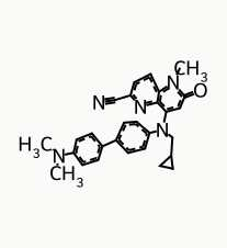 CN(C)c1ccc(-c2ccc(N(CC3CC3)c3cc(=O)n(C)c4ccc(C#N)nc34)cc2)cc1